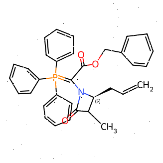 C=CC[C@H]1C(C)C(=O)N1C(C(=O)OCc1ccccc1)=P(c1ccccc1)(c1ccccc1)c1ccccc1